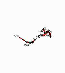 CC(=O)c1nn(CC(=O)N2[C@H](C)[C@@H](CNC(=O)COCCOCCNC(=O)COCCOCCNC(=O)CC[C@H](NC(=O)CCCCCCCCCCCCCCCCC(=O)O)C(=O)O)C[C@H]2C(=O)Nc2nc(Br)ccc2C)c2cc(P(=O)(O)O)ccc12